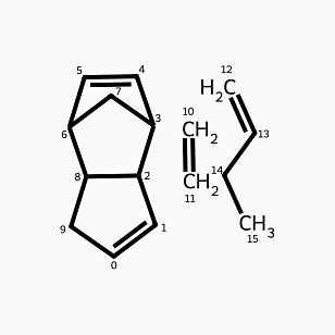 C1=CC2C3C=CC(C3)C2C1.C=C.C=CCC